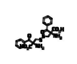 NC(CSSCC(N)(C(=O)O)C(=O)c1ccccc1)(C(=O)O)C(=O)c1ccccc1